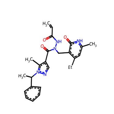 C=CC(=O)NN(Cc1c(CC)cc(C)[nH]c1=O)C(=O)c1cnn(C(C)c2ccccc2)c1C